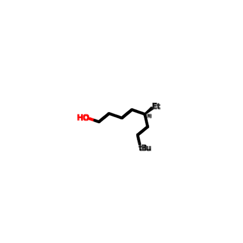 CC[C@H](CCCCO)CCC(C)(C)C